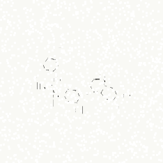 COc1cc2nccc(Oc3ccc(NC(=O)N[C@@H](C)c4ccc(F)cc4)cc3Cl)c2cc1OC